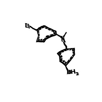 Bc1ccc(N(C)c2ccc(CC)cc2)cc1